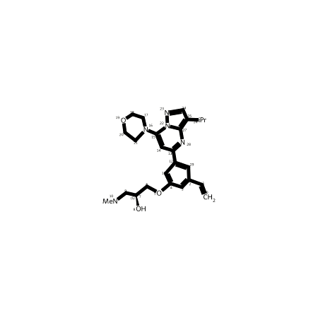 C=Cc1cc(OC[C@@H](O)CNC)cc(-c2cc(N3CCOCC3)n3ncc(C(C)C)c3n2)c1